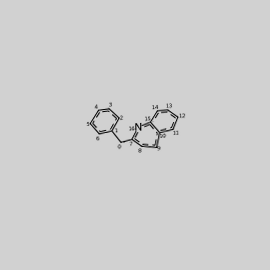 [CH](c1ccccc1)c1ccc2ccccc2n1